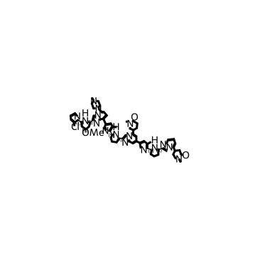 CO[C@H]1C[C@@H](c2ncccc2Cl)N[C@@H](c2cn3c(N4CCN(C)CC4)ccc(-c4cnc([C@@H]5CCC[C@H](c6cn7c(C8CCC(=O)N(C)C8)cc(-c8cnc([C@@H]9CCC[C@H](c%10cn%11c(C%12CCN(C)C(=O)C%12)cccc%11n%10)N9)c(C)c8)cc7n6)N5)c(C)c4)c3n2)C1